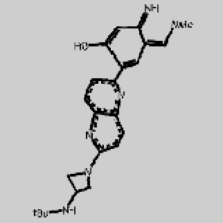 CN/C=C1/C=C(c2ccc3nc(N4CC(NC(C)(C)C)C4)ccc3n2)C(O)=CC1=N